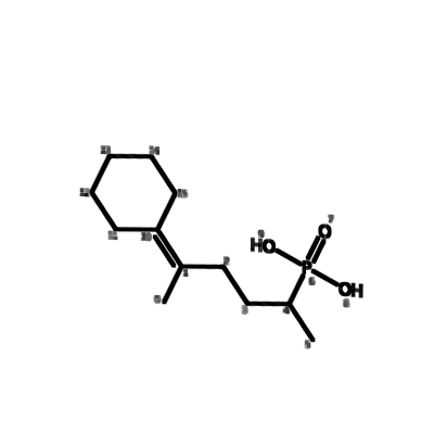 CC(CCC(C)P(=O)(O)O)=C1CCCCC1